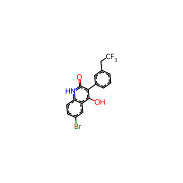 O=c1[nH]c2ccc(Br)cc2c(O)c1-c1cccc(CC(F)(F)F)c1